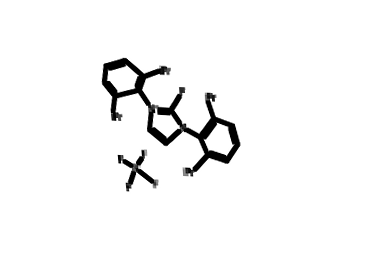 CC(C)c1cccc(C(C)C)c1-n1cc[n+](-c2c(C(C)C)cccc2C(C)C)c1F.F[B-](F)(F)F